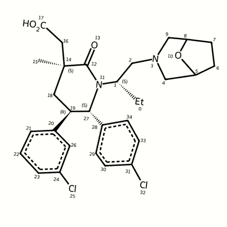 CC[C@@H](CN1CC2CCC(C1)O2)N1C(=O)[C@](C)(CC(=O)O)C[C@H](c2cccc(Cl)c2)[C@H]1c1ccc(Cl)cc1